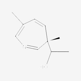 CC1=CN=C[C@@](C)(C(C)O)C=C1